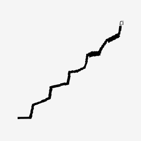 CCCCCCCC/C=C/C=C/Cl